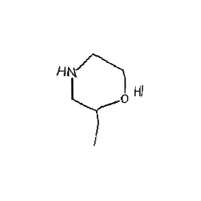 I.IC1CNCCO1